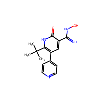 CC(C)(C)c1[nH]c(=O)c(C(=N)NO)cc1-c1ccncc1